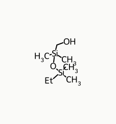 CC[Si](C)(C)O[Si](C)(C)CO